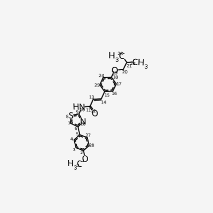 COc1ccc(-c2csc(NC(=O)C=Cc3ccc(OCC(C)C)cc3)n2)cc1